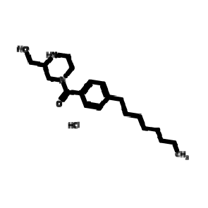 CCCCCCCCc1ccc(C(=O)N2CCNC(CO)C2)cc1.Cl